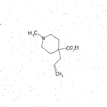 C=CCC1(C(=O)OCC)CCN(C)CC1